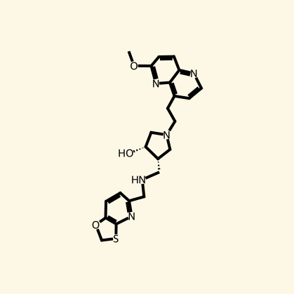 COc1ccc2nccc(CCN3C[C@H](CNCc4ccc5c(n4)SCO5)[C@H](O)C3)c2n1